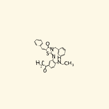 CCNc1ccc(C(C)=O)cc1/N=C1\SC(=Cc2ccccc2)C(=O)N1Cc1ccccc1